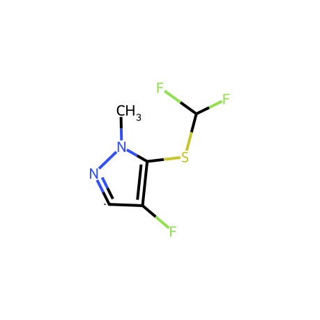 Cn1n[c]c(F)c1SC(F)F